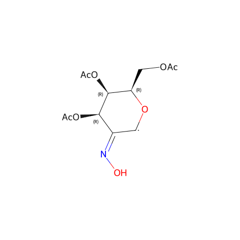 CC(=O)OC[C@H]1O[CH]C(=NO)[C@@H](OC(C)=O)[C@H]1OC(C)=O